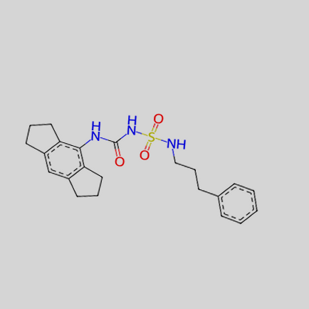 O=C(Nc1c2c(cc3c1CCC3)CCC2)NS(=O)(=O)NCCCc1ccccc1